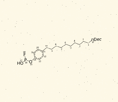 CCCCCCCCCCCCCCCCCCCCc1ccc(OP(O)F)cc1